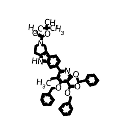 CCc1c(-c2ccc3c4c([nH]c3c2)CCN(C(=O)OC(C)(C)C)C4)nc(OCc2ccccc2)c(C(=O)OCc2ccccc2)c1OCc1ccccc1